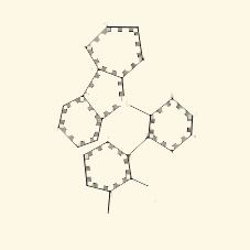 Fc1cccc(-c2ccccc2-n2c3ccccc3c3ccccc32)c1C(F)(F)F